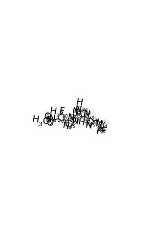 CS(=O)(=O)NCc1cc(F)cc(-c2nccc3[nH]c(-c4n[nH]c5cnc(-c6cncc(CN7CCC(F)(F)C7)c6)cc45)nc23)c1